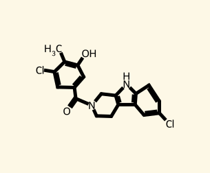 Cc1c(O)cc(C(=O)N2CCc3c([nH]c4ccc(Cl)cc34)C2)cc1Cl